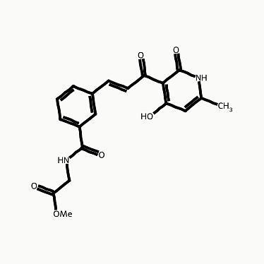 COC(=O)CNC(=O)c1cccc(C=CC(=O)c2c(O)cc(C)[nH]c2=O)c1